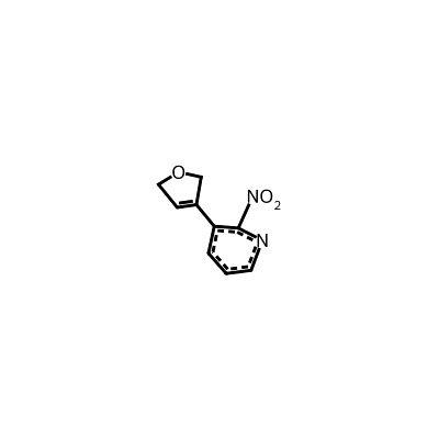 O=[N+]([O-])c1ncccc1C1=CCOC1